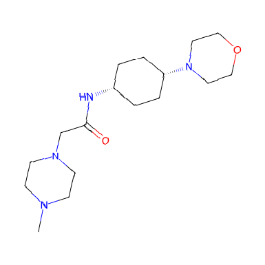 CN1CCN(CC(=O)N[C@H]2CC[C@@H](N3CCOCC3)CC2)CC1